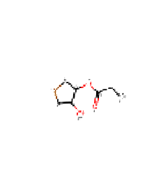 CCC(C)CC(=O)OC1CSCC1O